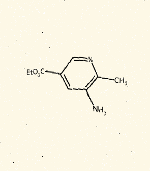 CCOC(=O)c1cnc(C)c(N)c1